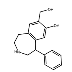 OCc1cc2c(cc1O)C(c1ccccc1)CNCC2